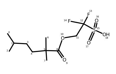 CC(C)CCC(C)(C)C(=O)OCC(F)(F)S(=O)(=O)O